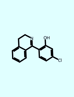 Oc1cc(Cl)ccc1C1=NCCc2ccccc21